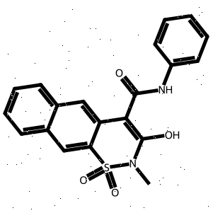 CN1C(O)=C(C(=O)Nc2ccccc2)c2cc3ccccc3cc2S1(=O)=O